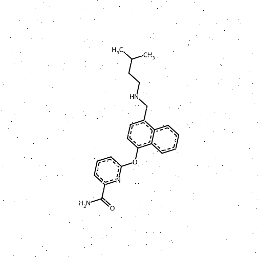 CC(C)CCNCc1ccc(Oc2cccc(C(N)=O)n2)c2ccccc12